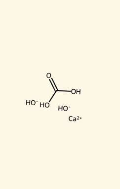 O=C(O)O.[Ca+2].[OH-].[OH-]